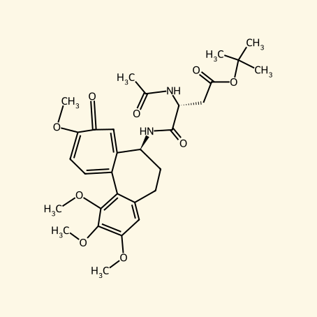 COc1cc2c(c(OC)c1OC)-c1ccc(OC)c(=O)cc1[C@@H](NC(=O)[C@@H](CC(=O)OC(C)(C)C)NC(C)=O)CC2